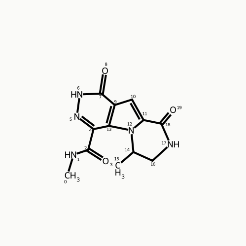 CNC(=O)c1n[nH]c(=O)c2cc3n(c12)C(C)CNC3=O